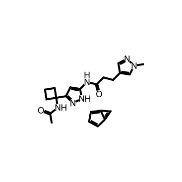 CC(=O)NC1(c2cc(NC(=O)CCc3cnn(C)c3)[nH]n2)CCC1.c1cc2cc-2c1